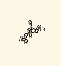 O=C(N[C@@H]1Cc2ccc3[nH]ncc3c2CN(CCN2CCCC2)C1=O)c1ccc2c(c1)CC1(C2)C(=O)Nc2ncccc21